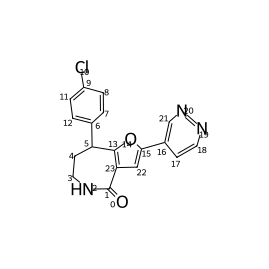 O=C1NCCC(c2ccc(Cl)cc2)c2oc(-c3ccnnc3)cc21